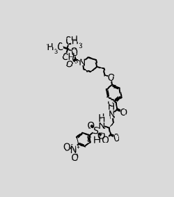 CC(C)(C)OC(=O)N1CCC(CCOc2ccc(C(=O)NC[C@H](NS(=O)(=O)c3ccc([N+](=O)[O-])cc3)C(=O)O)cc2)CC1